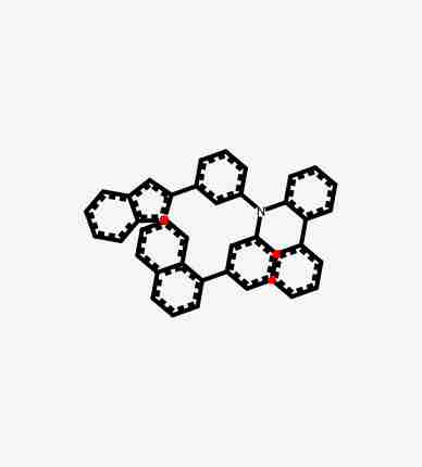 c1ccc(-c2ccccc2N(c2cccc(-c3cc4ccccc4o3)c2)c2cccc(-c3cccc4ccccc34)c2)cc1